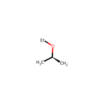 [CH2][C@@H](C)OCC